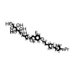 CCCc1cnc(N2CCC(CCCOc3cc(F)c(CC(=O)N4CC(CNC[C@H](O)[C@@H](O)[C@H](O)[C@H](O)CO)C4)c(F)c3)CC2)nc1